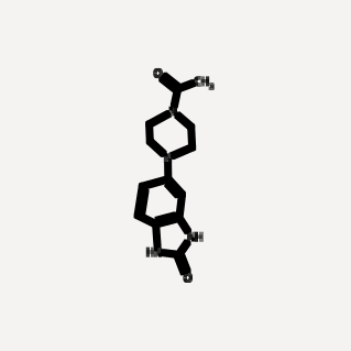 CC(=O)N1CCN(c2ccc3[nH]c(=O)[nH]c3c2)CC1